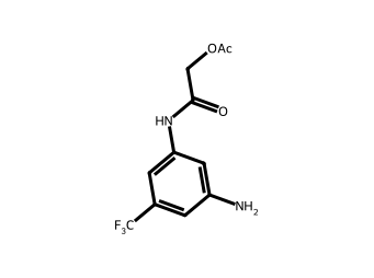 CC(=O)OCC(=O)Nc1cc(N)cc(C(F)(F)F)c1